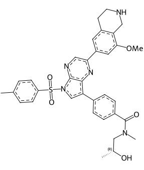 COc1cc(-c2cnc3c(n2)c(-c2ccc(C(=O)N(C)C[C@@H](C)O)cc2)cn3S(=O)(=O)c2ccc(C)cc2)cc2c1CNCC2